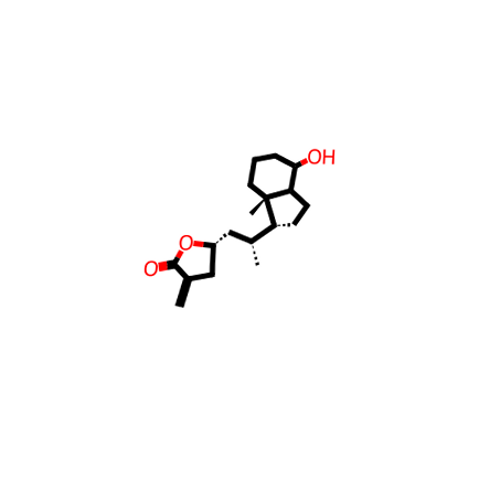 C=C1C[C@@H](C[C@@H](C)[C@H]2CCC3C(O)CCC[C@]32C)OC1=O